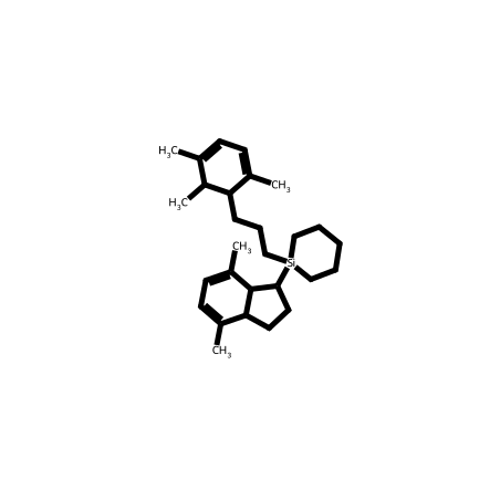 CC1=CC=C(C)C(CCC[Si]2(C3CCC4C(C)=CC=C(C)C43)CCCCC2)C1C